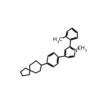 Cc1ccccc1-c1cc(-c2ccc(C3CCC4(CCCC4)CC3)cc2)cc[n+]1C